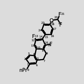 CCCc1ccc2c(c1)CCc1c-2cc(F)c(-c2ccc(OC(F)F)cc2)c1F